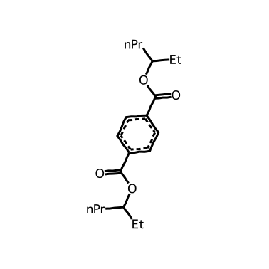 CCCC(CC)OC(=O)c1ccc(C(=O)OC(CC)CCC)cc1